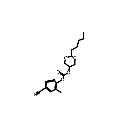 CCCCCC1OCC(OC(=O)Oc2ccc(C#N)cc2C)CO1